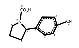 N#Cc1ccc(C2CCCN2C(=O)O)cc1